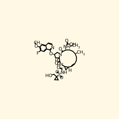 CC[C@@H]1C[C@@H](C)CC/C=C\[C@@H]2C[C@@]2(C(=O)NS(=O)(=O)C2(CO)CC2)NC(=O)[C@@H]2C[C@@H](Oc3nccc4cc(OC)c(F)cc34)CN2C(=O)[C@H]1NC(=O)O